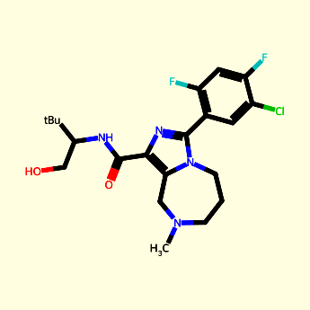 CN1CCCn2c(-c3cc(Cl)c(F)cc3F)nc(C(=O)NC(CO)C(C)(C)C)c2C1